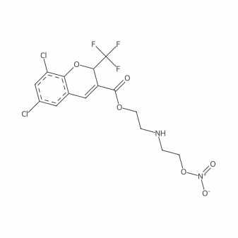 O=C(OCCNCCO[N+](=O)[O-])C1=Cc2cc(Cl)cc(Cl)c2OC1C(F)(F)F